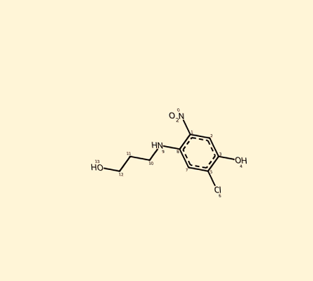 O=[N+]([O-])c1cc(O)c(Cl)cc1NCCCO